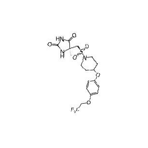 C[C@]1(CS(=O)(=O)N2CCC(Oc3ccc(OCC(F)(F)F)cc3)CC2)NC(=O)NC1=O